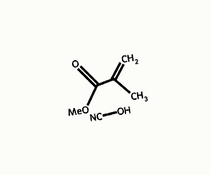 C=C(C)C(=O)OC.N#CO